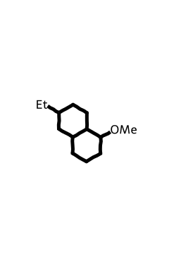 CCC1CCC2C(CCCC2OC)C1